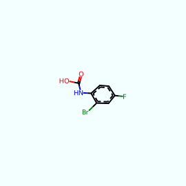 O=C(O)Nc1ccc(F)cc1Br